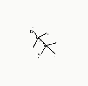 CC(C)C(C)(C)[Si](C)(C)Br